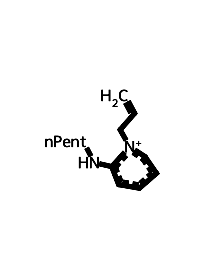 C=CC[n+]1ccccc1NCCCCC